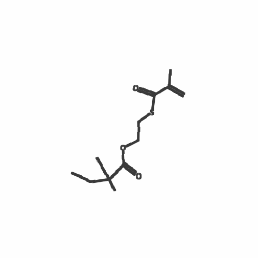 C=C(C)C(=O)SCCOC(=O)C(C)(C)CC